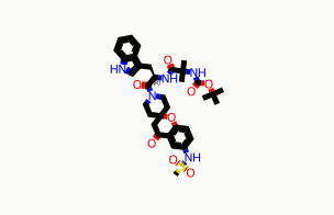 CC(C)(C)OC(=O)NC(C)(C)C(=O)N[C@H](Cc1c[nH]c2ccccc12)C(=O)N1CCC2(CC1)CC(=O)c1cc(NS(C)(=O)=O)ccc1O2